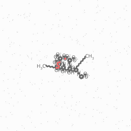 CCCCCCCCCCc1cc(N=Nc2cccc([N+](=O)[O-])c2)cc(Cc2cc(N=Nc3cc([N+](=O)[O-])cc([N+](=O)[O-])c3)cc(Cc3cc(N=Nc4cc([N+](=O)[O-])cc([N+](=O)[O-])c4)cc(Cc4cc(N=Nc5cc([N+](=O)[O-])cc([N+](=O)[O-])c5)cc(CCCCCCC)c4O)c3O)c2O)c1O